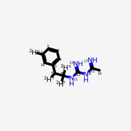 [2H]c1cccc(C([2H])C([2H])([2H])NC(=N)NC(C)=N)c1